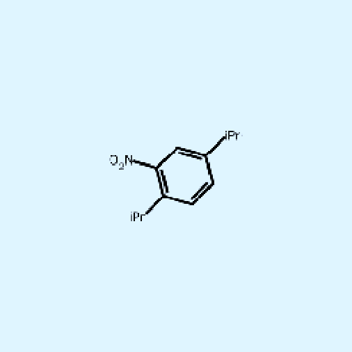 C[C](C)c1ccc(C(C)C)c([N+](=O)[O-])c1